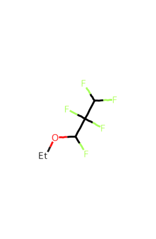 [CH2]COC(F)C(F)(F)C(F)F